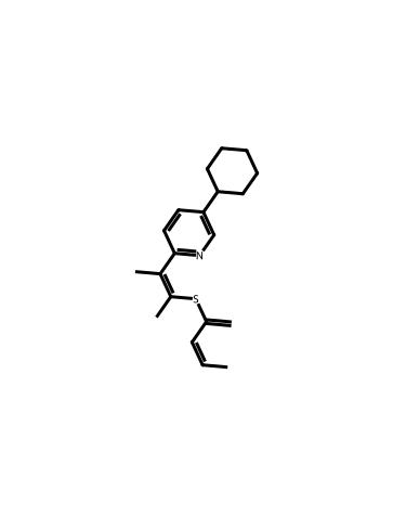 C=C(/C=C\C)S/C(C)=C(/C)c1ccc(C2CCCCC2)cn1